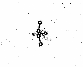 C=CCCC(C)(C1=CC=CC1)C1c2cc(C#Cc3ccccc3)ccc2-c2ccc(C#Cc3ccccc3)cc21.[Cl-].[Cl-].[Zr+2]